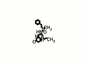 CCCN1C[C@@H](NC(=O)N(C)CCc2ccccc2)C[C@@H]2CC(=O)CC[C@H]21